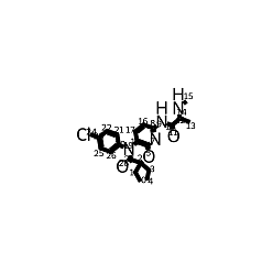 CCC1(CC)Oc2nc(NC(=O)C(C)NC)ccc2N(c2ccc(Cl)cc2)C1=O